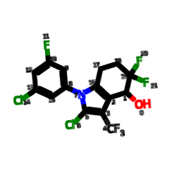 OC1c2c(C(F)(F)F)c(Cl)n(-c3cc(F)cc(Cl)c3)c2CCC1(F)F